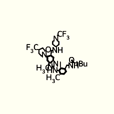 Cc1ccc(CNC(=O)C(C)(C)C)c(I)c1Nc1nc2cc(C(=O)NC3CCN(CC(F)(F)F)CC3)c(N3CCC(C(F)(F)F)CC3)cc2n1C